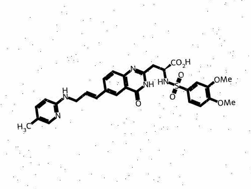 COc1ccc(S(=O)(=O)N[C@@H](Cc2nc3ccc(C=CCNc4ccc(C)cn4)cc3c(=O)[nH]2)C(=O)O)cc1OC